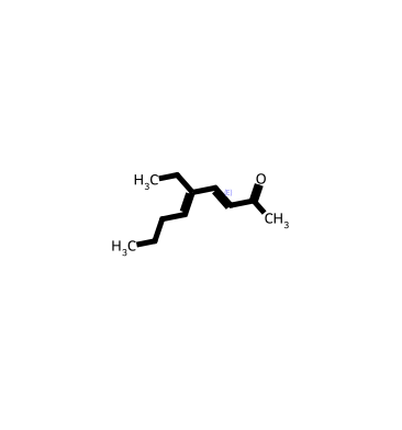 CCCC=C(/C=C/C(C)=O)CC